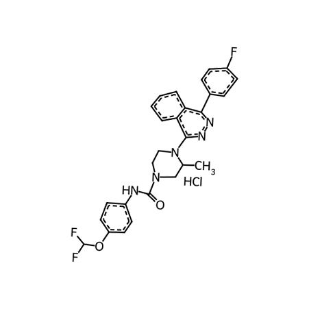 CC1CN(C(=O)Nc2ccc(OC(F)F)cc2)CCN1c1nnc(-c2ccc(F)cc2)c2ccccc12.Cl